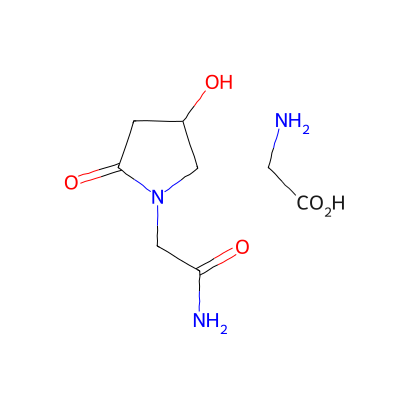 NC(=O)CN1CC(O)CC1=O.NCC(=O)O